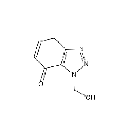 O=C1C=CCc2nnn(CO)c21